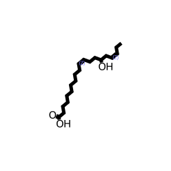 CC/C=C\CC(O)CC/C=C\CCCCCCCCCC(=O)O